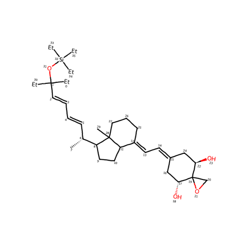 CCC(/C=C/C=C/[C@@H](C)C1CCC2/C(=C/C=C3C[C@@H](O)C4(CO4)[C@H](O)C3)CCCC21C)(CC)O[Si](CC)(CC)CC